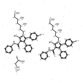 CC(C)c1c(C(=O)Nc2ccccc2)c(-c2ccccc2)c(-c2ccc(F)cc2)n1CC[C@@H](O)C[C@@H](O)CC(=O)[O-].CC(C)c1c(C(=O)Nc2ccccc2)c(-c2ccccc2)c(-c2ccc(F)cc2)n1CC[C@@H](O)C[C@@H](O)CC(=O)[O-].C[C@@H](O)CO.[Ca+2]